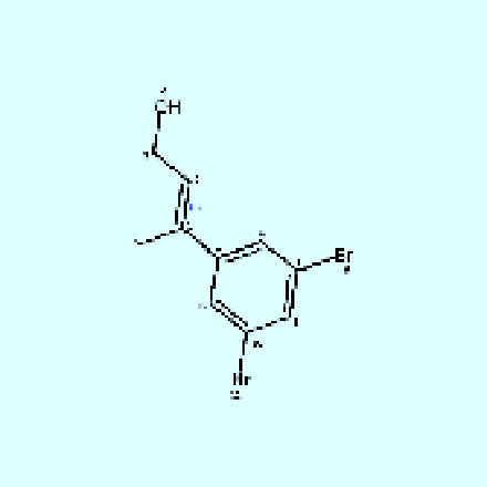 C/C(=C\CO)c1cc(Br)cc(Br)c1